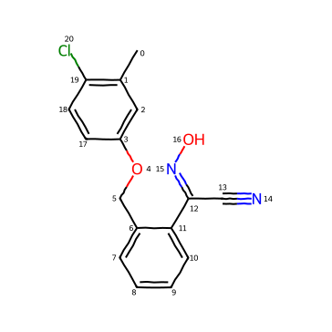 Cc1cc(OCc2ccccc2C(C#N)=NO)ccc1Cl